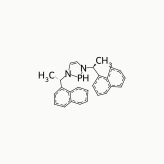 C[C@@H](c1cccc2ccccc12)N1C=CN([C@@H](C)c2cccc3ccccc23)P1